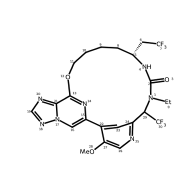 CCN1C(=O)N[C@@H](CC(F)(F)F)CCCCOc2nc(cn3ncnc23)-c2cc(ncc2OC)C1C(F)(F)F